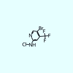 FC(F)(F)c1cc(NCl)ncc1Br